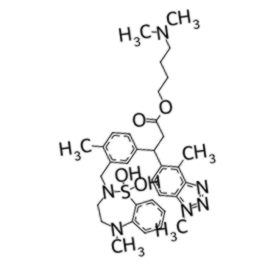 Cc1ccc(C(CC(=O)OCCCCN(C)C)c2ccc3c(nnn3C)c2C)cc1CN1CCN(C)c2ccccc2S1(O)O